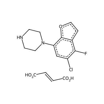 Fc1c(Cl)cc(N2CCNCC2)c2occc12.O=C(O)C=CC(=O)O